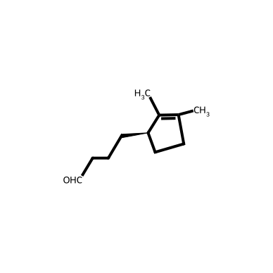 CC1=C(C)[C@H](CCCC=O)CC1